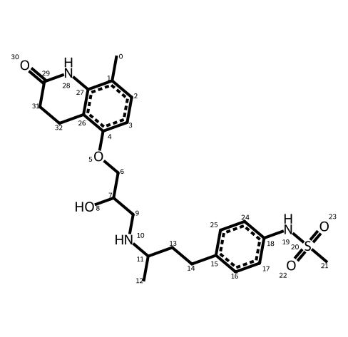 Cc1ccc(OCC(O)CNC(C)CCc2ccc(NS(C)(=O)=O)cc2)c2c1NC(=O)CC2